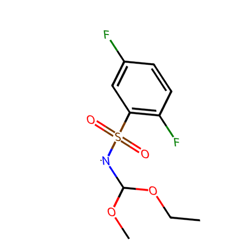 CCOC([N]S(=O)(=O)c1cc(F)ccc1F)OC